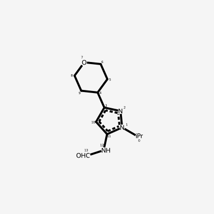 CC(C)n1nc(C2CCOCC2)cc1NC=O